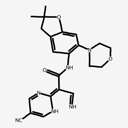 CC1(C)Cc2cc(NC(=O)/C(C=N)=C3\N=CC(C#N)=CN3)c(N3CCOCC3)cc2O1